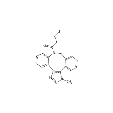 Cn1nnc2c1-c1ccccc1CN(C(=O)CCI)c1ccccc1-2